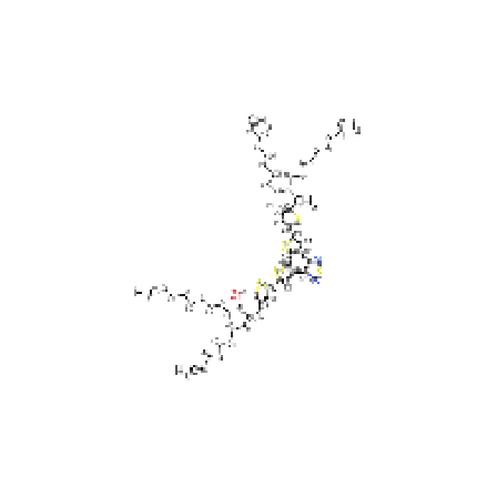 CCCCCCCCCCC(CCCCCCCC)Cc1cc(-c2cc3c4nsnc4c4cc(-c5cc(CC(CCCCCCCC)CCCCCCCCCC)c(Br)s5)sc4c3s2)sc1C